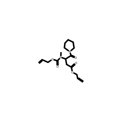 C=CCOC(=O)CC(C(=O)N1CCCCC1)N(C)C(=O)OCC=C